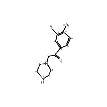 O=C(CN1CCNCC1)c1ccc(Br)c(F)c1